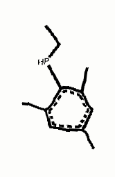 CCPc1c(C)cc(C)cc1C